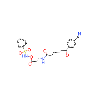 N#Cc1ccc(C(=O)CCCCC(=O)NCCC(=O)ONS(=O)(=O)c2ccccc2)cc1